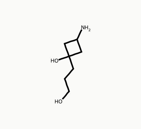 NC1CC(O)(CCCO)C1